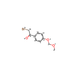 COCOc1ccc(C(=O)CBr)cc1